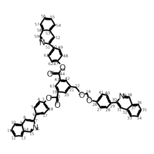 O=C(Oc1ccc(-c2cc3ccccc3cn2)cc1)c1cc(COCOc2ccc(-c3cc4ccccc4cn3)cc2)cc(C(=O)Oc2ccc(-c3cc4ccccc4cn3)cc2)c1